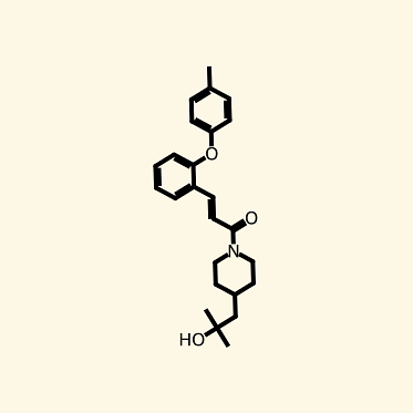 Cc1ccc(Oc2ccccc2/C=C/C(=O)N2CCC(CC(C)(C)O)CC2)cc1